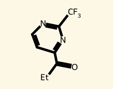 CCC(=O)c1ccnc(C(F)(F)F)n1